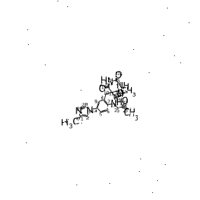 Cc1cn(-c2ccc3c(c2)CC2(C(=O)NC(=O)NC2=O)[C@H]2[C@H](C)O[C@H](C)CN32)cn1